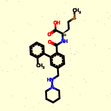 CSCC[C@H](NC(=O)c1ccc(CNN2CCCCC2)cc1-c1ccccc1C)C(=O)O